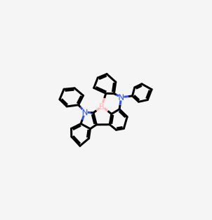 c1ccc(N2c3ccccc3B3c4c(cccc42)-c2c3n(-c3ccccc3)c3ccccc23)cc1